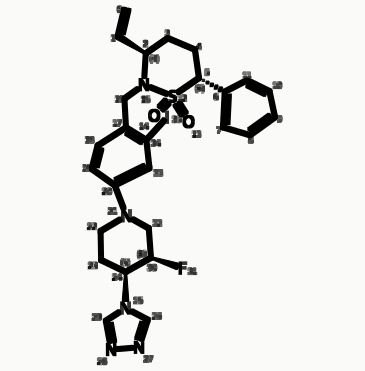 C=C[C@H]1CC[C@H](c2ccccc2)S(=O)(=O)N1Cc1ccc(N2CC[C@H](n3cnnc3)[C@H](F)C2)cc1I